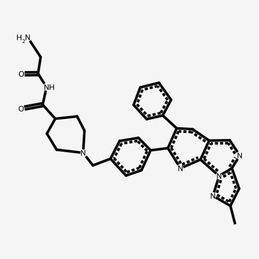 Cc1cc2ncc3cc(-c4ccccc4)c(-c4ccc(CN5CCC(C(=O)NC(=O)CN)CC5)cc4)nc3n2n1